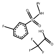 CC(C)NS(=O)(=O)c1cccc(F)c1.O=C(O)C(F)(F)F